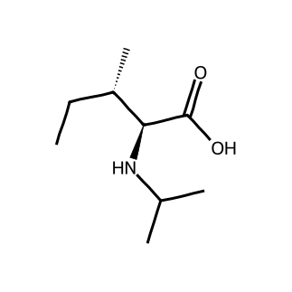 CC[C@H](C)[C@H](NC(C)C)C(=O)O